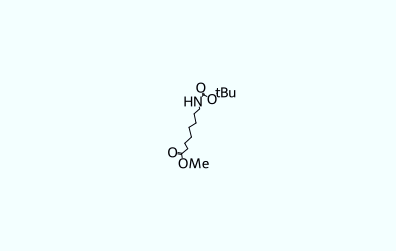 COC(=O)CCCCCCCNC(=O)OC(C)(C)C